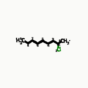 [CH2]C(Cl)CCCCCCC